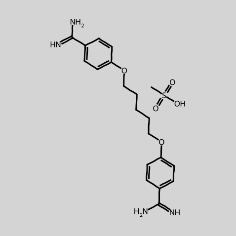 CS(=O)(=O)O.N=C(N)c1ccc(OCCCCCOc2ccc(C(=N)N)cc2)cc1